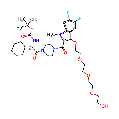 Cn1c(C(=O)N2CCN(C(=O)[C@@H](NC(=O)OC(C)(C)C)C3CCCCC3)CC2)c(OCCOCCOCCOCCO)c2cc(F)c(F)cc21